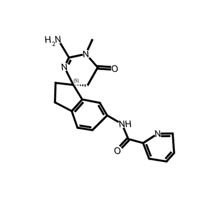 CN1C(=O)C[C@]2(CCc3ccc(NC(=O)c4ccccn4)cc32)N=C1N